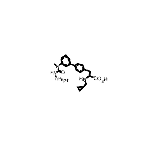 CCCCCCCNC(=O)N(C)c1cccc(-c2ccc(CC(NCC3CC3)C(=O)O)cc2)c1